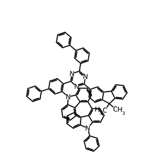 CC1(C)c2ccccc2-c2cc(-c3nc(-c4cccc(-c5ccccc5)c4)nc(-c4ccc(-c5ccccc5)cc4-n4c5ccccc5c5c(-c6cccc7c6c6ccccc6n7-c6ccccc6)cccc54)n3)ccc21